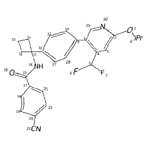 CC(C)Oc1cc(C(F)F)c(-c2ccc(C3(NC(=O)c4ccc(C#N)cc4)CCC3)cc2)cn1